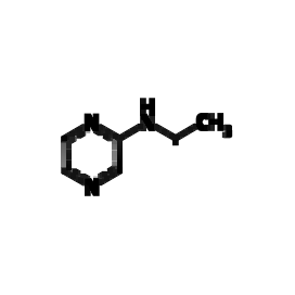 C[CH]Nc1cnccn1